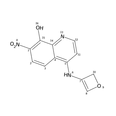 O=[N+]([O-])c1ccc2c(NC3=COC3)ccnc2c1O